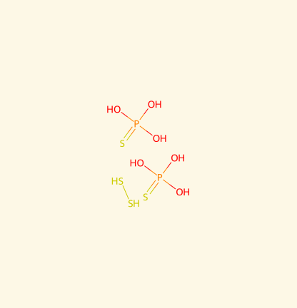 OP(O)(O)=S.OP(O)(O)=S.SS